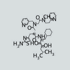 CC(C)C[C@H](O)[C@H](O)[C@H](CC1CCCCC1)NC(=O)[C@@H](CC(=O)N(CC(=O)N(C)CCc1ccccn1)Cc1cccnc1)Cc1csc(N)n1